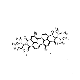 CC(C)C(C(C)C)N1C(=O)c2ccc3c4c(Br)cc5c6c(ccc(c7c(Br)cc(c2c37)C1=O)c64)C(=O)N(C(C(C)C)C(C)C)C5=O